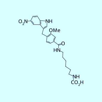 COc1cc(C(=O)NCCCCCCNC(=O)O)ccc1Cc1c[nH]c2ccc([N+](=O)[O-])cc12